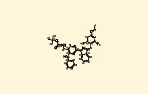 CCOc1cc(F)c(Cn2nc(-c3ncc(CNC(=O)OC(C)(C)C)c(Nc4ccncc4)n3)c3ccccc32)c(F)c1